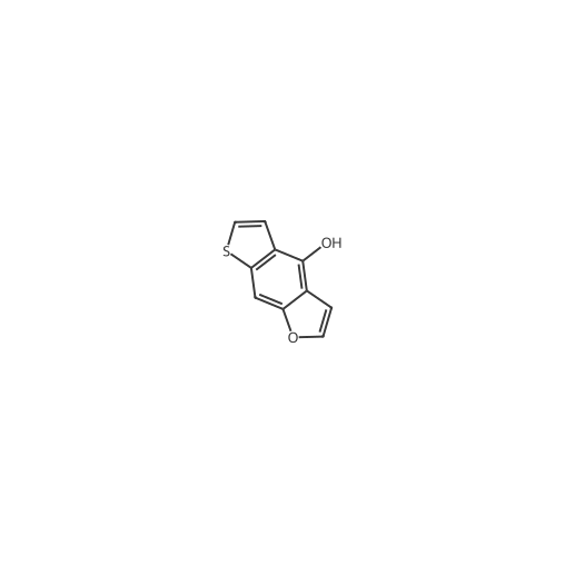 Oc1c2ccoc2cc2sccc12